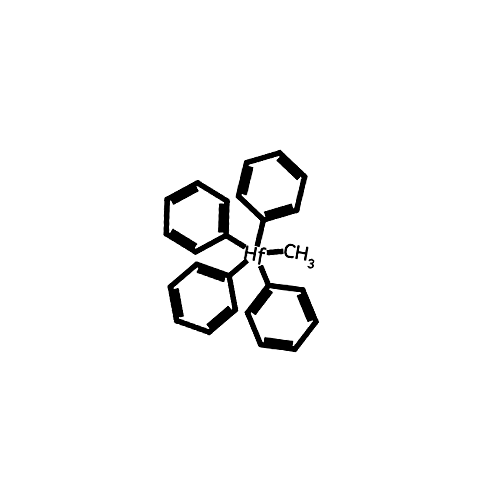 [CH3][Hf]([c]1ccccc1)([c]1ccccc1)([c]1ccccc1)[c]1ccccc1